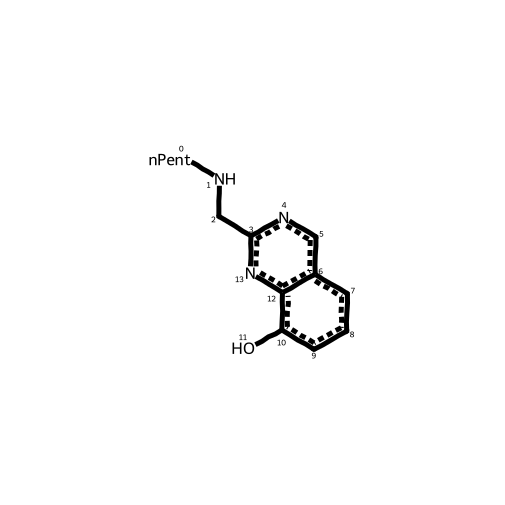 CCCCCNCc1ncc2cccc(O)c2n1